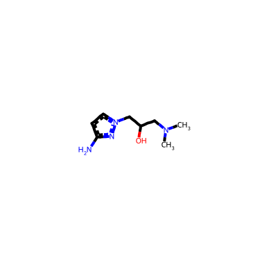 CN(C)CC(O)Cn1ccc(N)n1